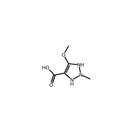 COC1=C(C(=O)O)NN(C)N1